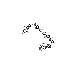 CC1(NC(=O)OC(C)(C)C)C=CN(c2cnc(Sc3cccc(NC(=O)c4ccc(N5CCC(N6CC=C(c7ccc(C(=O)NCc8ccc9c(c8)CN(C8CCC(=O)NC8=O)C9=O)nc7)CC6)CC5)c(F)c4)c3)cn2)C=C1